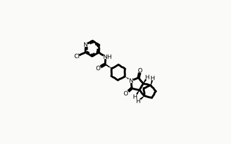 O=C1[C@@H]2[C@@H]3CC[C@@H](C3)[C@@H]2C(=O)N1[C@H]1CC[C@H](C(=O)Nc2ccnc(Cl)c2)CC1